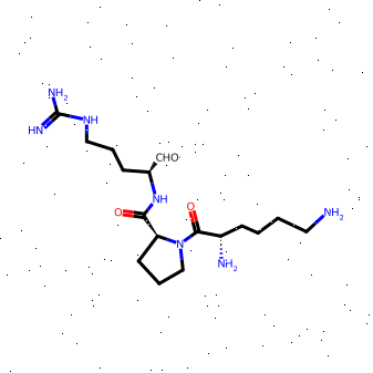 N=C(N)NCCC[C@@H]([C]=O)NC(=O)[C@@H]1CCCN1C(=O)[C@@H](N)CCCCN